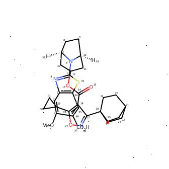 COc1cc2nc(N3[C@@H]4CC[C@H]3CC(OC(=O)c3c(C56CCC(CC5)CC6)noc3C3CC3)C4)sc2cc1C(=O)O